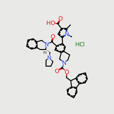 Cc1c(C(=O)O)cc(-c2cc3c(cc2C(=O)N2Cc4ccccc4C[C@H]2CN2CCCC2)CN(C(=O)OCC2c4ccccc4-c4ccccc42)CC3)n1C.Cl